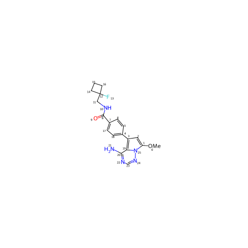 COc1cc(-c2ccc(C(=O)NCC3(F)CCC3)cc2)c2c(N)ncnn12